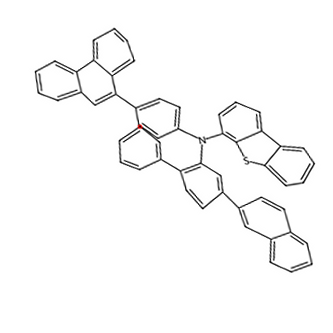 c1ccc(-c2ccc(-c3ccc4ccccc4c3)cc2N(c2ccc(-c3cc4ccccc4c4ccccc34)cc2)c2cccc3c2sc2ccccc23)cc1